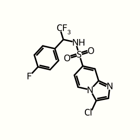 O=S(=O)(NC(c1ccc(F)cc1)C(F)(F)F)c1ccn2c(Cl)cnc2c1